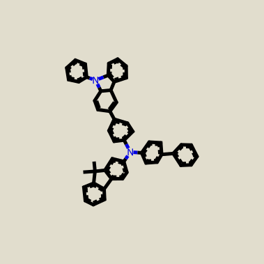 CC1(C)c2ccccc2-c2ccc(N(c3ccc(C4=CC5c6ccccc6N(c6ccccc6)C5C=C4)cc3)c3ccc(-c4ccccc4)cc3)cc21